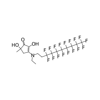 CCN(CCC(F)(F)C(F)(F)C(F)(F)C(F)(F)C(F)(F)C(F)(F)C(F)(F)C(F)(F)F)C1=C(O)C(=O)C(C)(O)C1